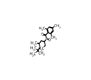 CCC(CC(C)CC(C)(C)C)[P](=O)C(=O)c1c(C)cc(C)cc1C